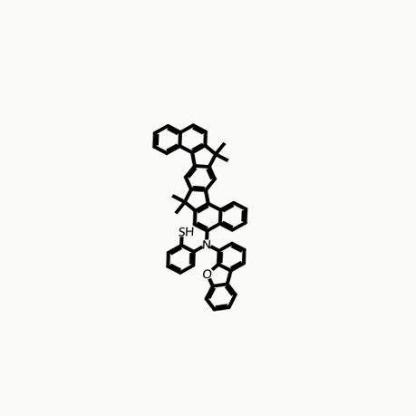 CC1(C)c2cc3c(cc2-c2c1ccc1ccccc21)C(C)(C)c1cc(N(c2ccccc2S)c2cccc4c2oc2ccccc24)c2ccccc2c1-3